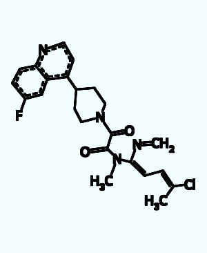 C=N/C(=C\C=C(/C)Cl)N(C)C(=O)C(=O)N1CCC(c2ccnc3ccc(F)cc23)CC1